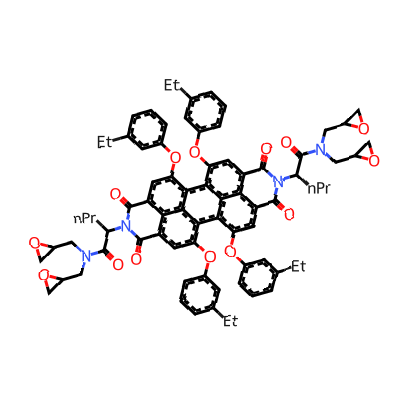 CCCC(C(=O)N(CC1CO1)CC1CO1)N1C(=O)c2cc(Oc3cccc(CC)c3)c3c4c(Oc5cccc(CC)c5)cc5c6c(cc(Oc7cccc(CC)c7)c(c7c(Oc8cccc(CC)c8)cc(c2c37)C1=O)c64)C(=O)N(C(CCC)C(=O)N(CC1CO1)CC1CO1)C5=O